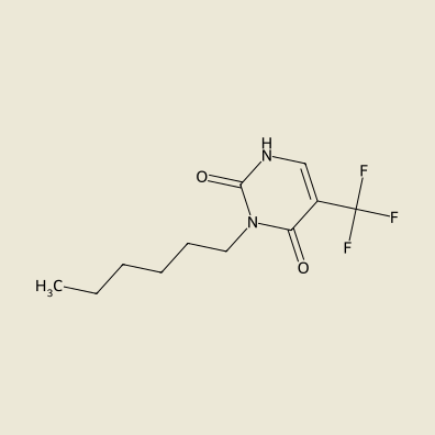 CCCCCCn1c(=O)[nH]cc(C(F)(F)F)c1=O